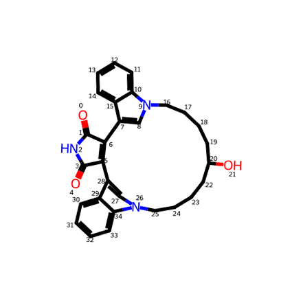 O=C1NC(=O)C2=C1c1cn(c3ccccc13)CCCCC(O)CCCCn1cc2c2ccccc21